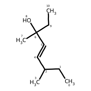 CCC(C)/C=C/C(C)(O)CC